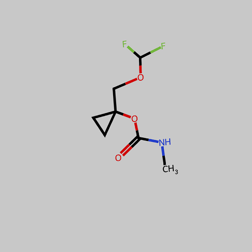 CNC(=O)OC1(COC(F)F)CC1